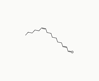 CCCCC/C=C\CCCCCC/C=C/C=O